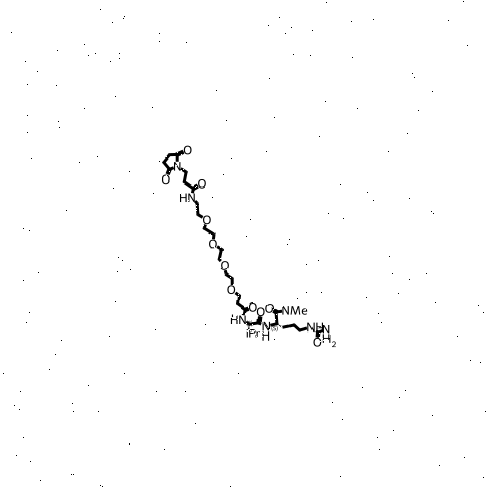 CNC(=O)[C@H](CCCNC(N)=O)NC(=O)[C@@H](NC(=O)CCOCCOCCOCCOCCNC(=O)CCN1C(=O)CCC1=O)C(C)C